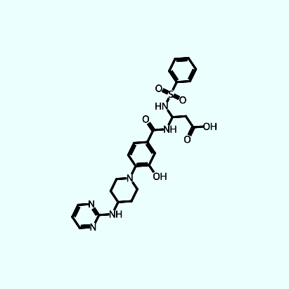 O=C(O)CC(NC(=O)c1ccc(N2CCC(Nc3ncccn3)CC2)c(O)c1)NS(=O)(=O)c1ccccc1